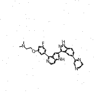 CN(C)CCOc1cc(F)cc(-c2nccc3[nH]c(-c4n[nH]c5ccc(-c6cnccn6)cc45)cc23)c1